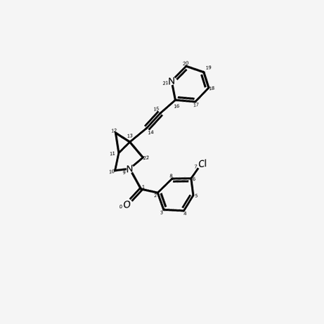 O=C(c1cccc(Cl)c1)N1CC2CC2(C#Cc2ccccn2)C1